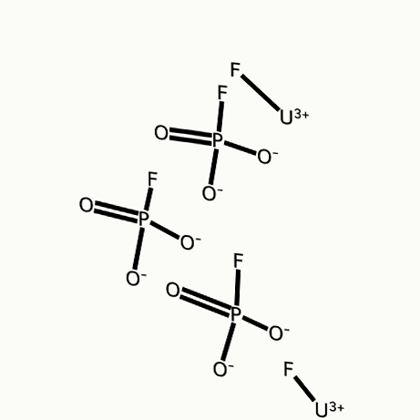 O=P([O-])([O-])F.O=P([O-])([O-])F.O=P([O-])([O-])F.[F][U+3].[F][U+3]